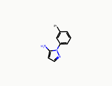 CC(C)c1cccc(-n2nccc2N)c1